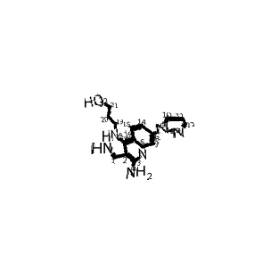 N=Cc1c(N)nc2cc(-n3cccn3)ccc2c1NCCCO